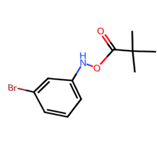 CC(C)(C)C(=O)ONc1cccc(Br)c1